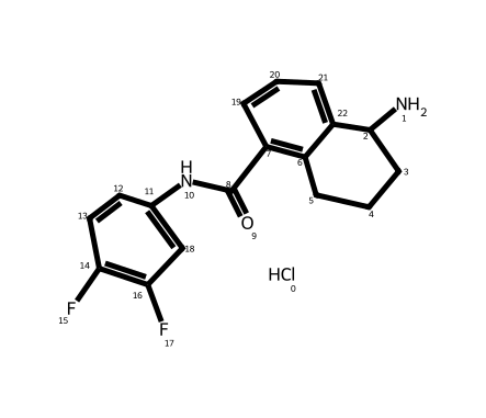 Cl.NC1CCCc2c(C(=O)Nc3ccc(F)c(F)c3)cccc21